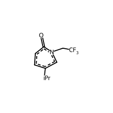 CC(C)c1ccc(=O)n(CC(F)(F)F)c1